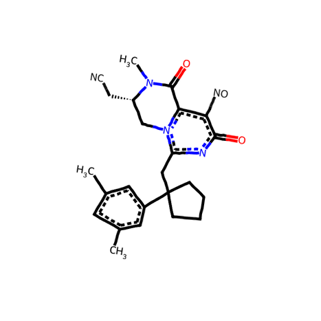 Cc1cc(C)cc(C2(Cc3nc(=O)c(N=O)c4n3C[C@H](CC#N)N(C)C4=O)CCCC2)c1